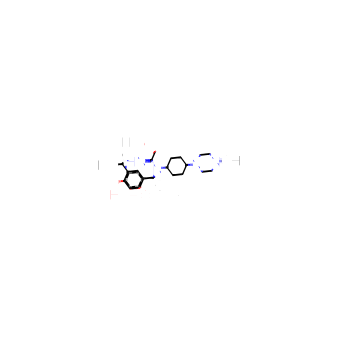 C=C(c1cc(C(C)C)c(O)cc1O)N(C(=N)C=O)C1CCC(N2CCN(C)CC2)CC1